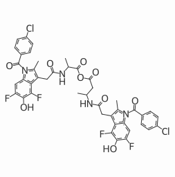 Cc1c(CC(=O)NC(C)CC(=O)OC(=O)C(C)NC(=O)Cc2c(C)n(C(=O)c3ccc(Cl)cc3)c3cc(F)c(O)c(F)c23)c2c(F)c(O)c(F)cc2n1C(=O)c1ccc(Cl)cc1